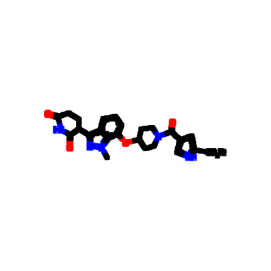 CCOC(=O)c1cc(C(=O)N2CCC(Oc3cccc4c(C5CCC(=O)NC5=O)nn(C)c34)CC2)c[nH]1